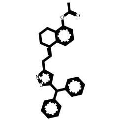 CC(=O)Oc1cccc2c1CCCC2=CCc1cc(C(c2ccccc2)c2ccccc2)on1